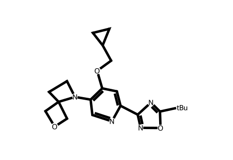 CC(C)(C)c1nc(-c2cc(OCC3CC3)c(N3CCC34COC4)cn2)no1